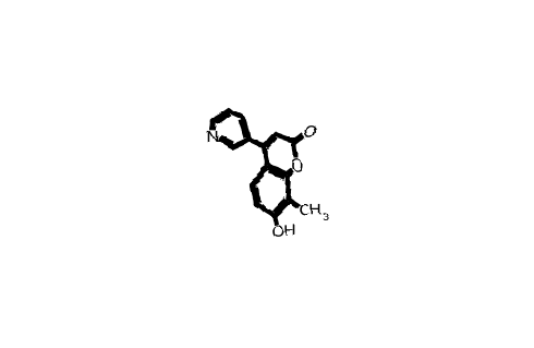 Cc1c(O)ccc2c(-c3cccnc3)cc(=O)oc12